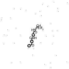 CN(C)CCNC(=O)Cc1ccc(NC(=O)c2ccc(C(=O)c3ccccc3)cc2)cc1